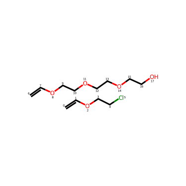 C=COCCCl.C=COCCOCCOCCO